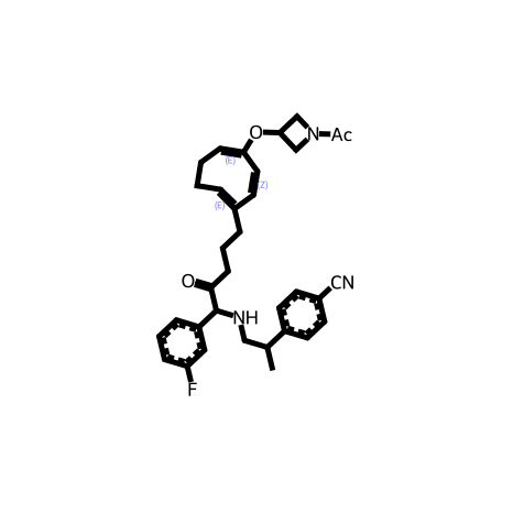 CC(=O)N1CC(OC2=C/CC/C=C(CCCC(=O)C(NCC(C)c3ccc(C#N)cc3)c3cccc(F)c3)/C=C\2)C1